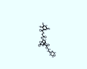 O=C(CCC(=O)c1cc(I)cc(I)c1I)OC1C2CC3C1OC(=O)C3C2C(=O)OCCN1CCOCC1